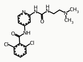 CN(C)CCNC(=O)Nc1cc(NC(=O)c2c(Cl)cccc2Cl)ccn1